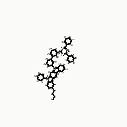 CCCCc1ccc2c(c1)c1cc3c4ccccc4n(-c4cccc(-c5cccc(-c6nc(-c7ccccc7)nc(-c7ccccc7)n6)c5)c4)c3cc1n2-c1ccccc1